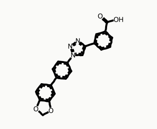 O=C(O)c1cccc(-c2cn(-c3ccc(-c4ccc5c(c4)OCO5)cc3)nn2)c1